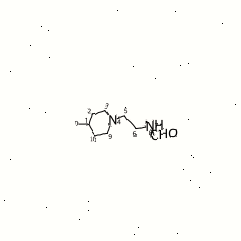 CC1CCN(CCNC=O)CC1